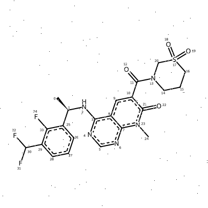 C[C@@H](Nc1ncnc2c1cc(C(=O)N1CCCS(=O)(=O)C1)c(=O)n2C)c1cccc(C(F)F)c1F